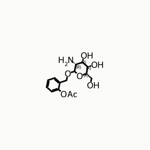 CC(=O)Oc1ccccc1COC1O[C@H](CO)[C@H](O)[C@H](O)[C@H]1N